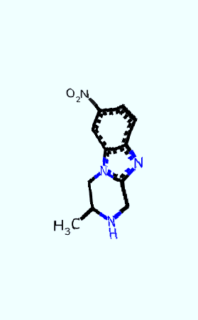 CC1Cn2c(nc3ccc([N+](=O)[O-])cc32)CN1